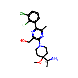 COC1([C@H](C)N)CCN(c2nc(C)c(-c3cccc(Cl)c3Cl)nc2CO)CC1